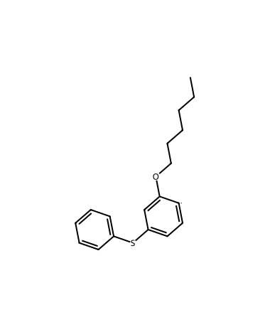 CCCCCCOc1[c]ccc(Sc2ccccc2)c1